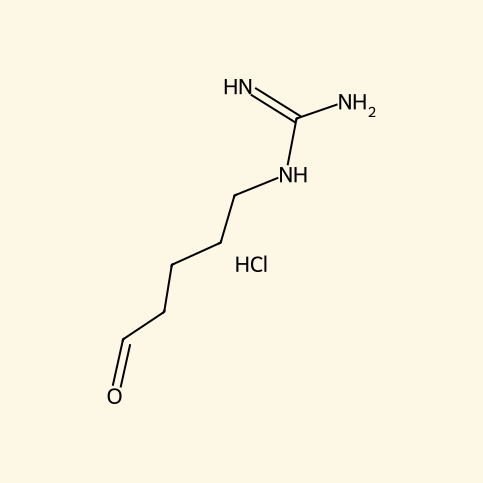 Cl.N=C(N)NCCCCC=O